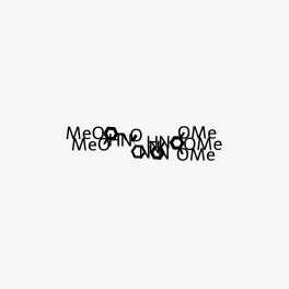 COc1ccc(CNC(=O)[C@H]2CCCN(c3ccnc(Nc4cc(OC)c(OC)c(OC)c4)n3)C2)cc1OC